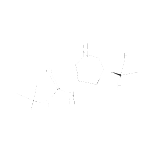 CC(C)(C)OC(=O)N[C@@H]1CNC[C@@H](C(F)(F)F)C1